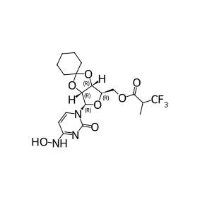 CC(C(=O)OC[C@H]1O[C@@H](n2ccc(NO)nc2=O)[C@@H]2OC3(CCCCC3)O[C@@H]21)C(F)(F)F